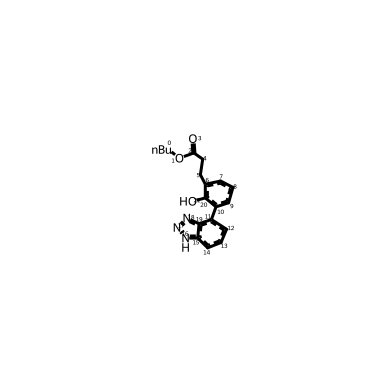 CCCCOC(=O)CCc1cccc(-c2cccc3[nH]nnc23)c1O